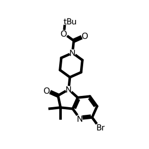 CC(C)(C)OC(=O)N1CCC(N2C(=O)C(C)(C)c3nc(Br)ccc32)CC1